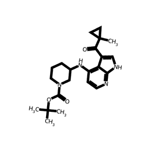 CC(C)(C)OC(=O)N1CCCC(Nc2ccnc3[nH]cc(C(=O)C4(C)CC4)c23)C1